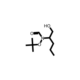 CCCC(CO)N(C=O)OC(C)(C)C